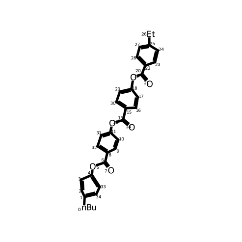 CCCCc1ccc(OC(=O)c2ccc(OC(=O)c3ccc(OC(=O)c4ccc(CC)cc4)cc3)cc2)cc1